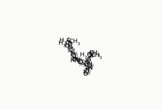 CC(C)(C)OC(=O)N1CCC(N2CCC(O)(CNc3ccc(-c4cc5c(N6CCOCC6)ncnc5n4COCC[Si](C)(C)C)cc3)CC2)CC1